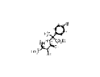 CCOC(=O)C(C)(NC(=O)C(CC)C(=N)C(=O)O)c1ccc(Br)cc1